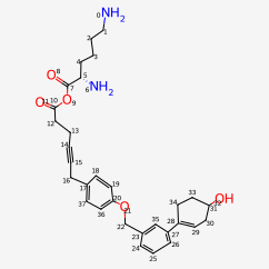 NCCCC[C@H](N)C(=O)OC(=O)CCC#CCc1ccc(OCc2cccc(C3=CCC(O)CC3)c2)cc1